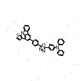 c1ccc(N(c2ccccc2)c2ccc(-c3nnc(-c4ccc(-c5cc6c7ccccc7n7c8sccc8c(c5)c67)cc4)o3)cc2)cc1